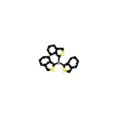 c1ccc2c(B(c3scc4ccccc34)c3scc4ccccc34)scc2c1